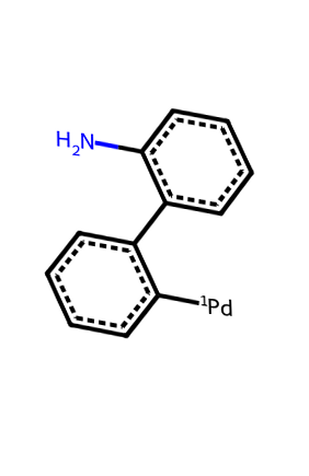 Nc1ccccc1-c1cccc[c]1[1Pd]